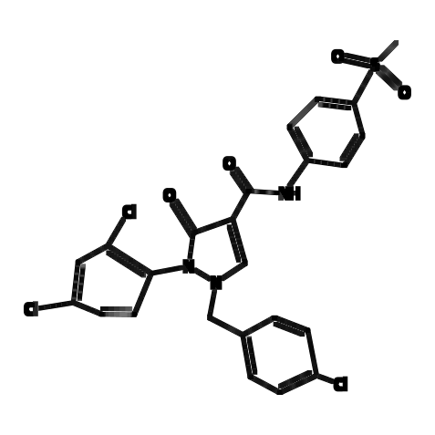 CS(=O)(=O)c1ccc(NC(=O)c2cn(Cc3ccc(Cl)cc3)n(-c3ccc(Cl)cc3Cl)c2=O)cc1